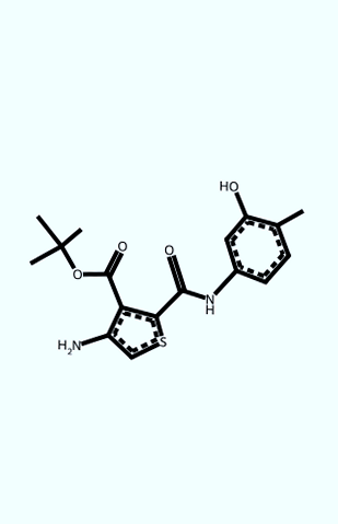 Cc1ccc(NC(=O)c2scc(N)c2C(=O)OC(C)(C)C)cc1O